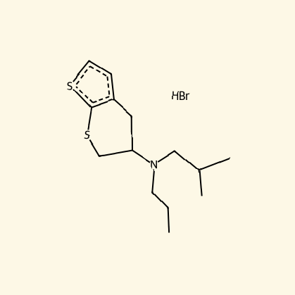 Br.CCCN(CC(C)C)C1CSc2sccc2C1